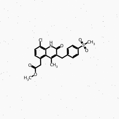 COC(=O)Cc1ccc(Cl)c2[nH]c(=O)c(Cc3ccc(S(C)(=O)=O)cc3)c(C)c12